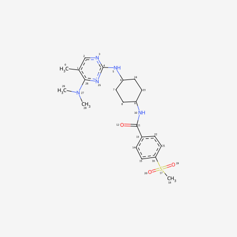 Cc1cnc(NC2CCC(NC(=O)c3ccc(S(C)(=O)=O)cc3)CC2)nc1N(C)C